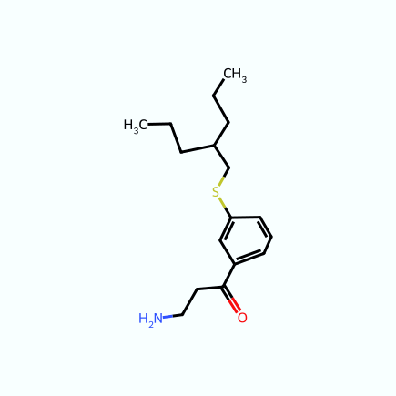 CCCC(CCC)CSc1cccc(C(=O)CCN)c1